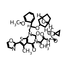 COc1ccccc1[C@H](Cn1c(=O)n([C@H](C)C(=O)NS(=O)(=O)C2(C)CC2)c(=O)c2c(C)c(-c3ncco3)sc21)OC1C[C@H]2CC[C@@H](C1)O2